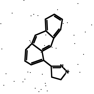 c1ccc2cc3c(C4=N[N]CC4)cccc3cc2c1